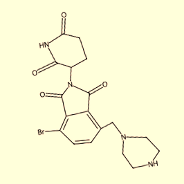 O=C1CCC(N2C(=O)c3c(Br)ccc(CN4CCNCC4)c3C2=O)C(=O)N1